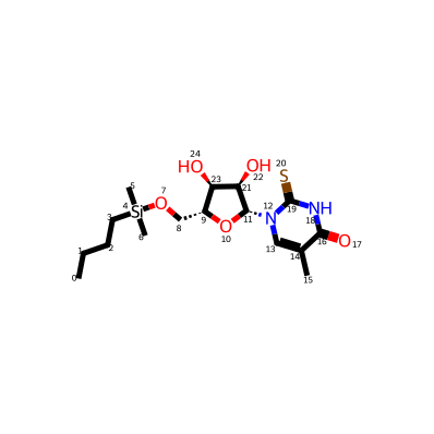 CCCC[Si](C)(C)OC[C@H]1O[C@@H](n2cc(C)c(=O)[nH]c2=S)[C@H](O)[C@@H]1O